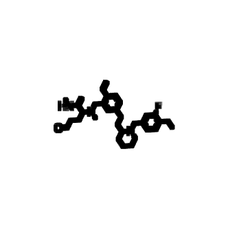 C=Cc1ccc(CCC2CCCCN2Cc2ccc(CC)c(F)c2)cc1CN(C)C(CCC=O)C(=C)NC